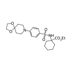 CCOC(=O)C1(NS(=O)(=O)c2ccc(N3CCC4(CC3)OCCO4)cc2)CCCCC1